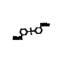 CNC1CCCC(C(C)(C)C2CCCC(NC)C2)C1